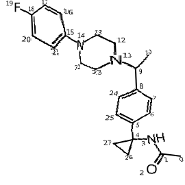 CC(=O)NC1(c2ccc(C(C)N3CCN(c4ccc(F)cc4)CC3)cc2)CC1